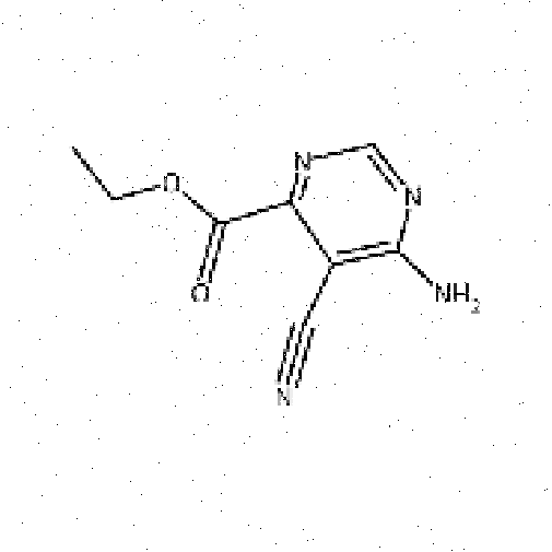 CCOC(=O)c1ncnc(N)c1C#N